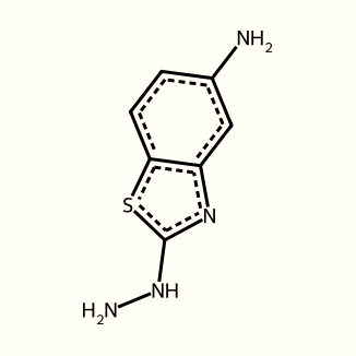 NNc1nc2cc(N)ccc2s1